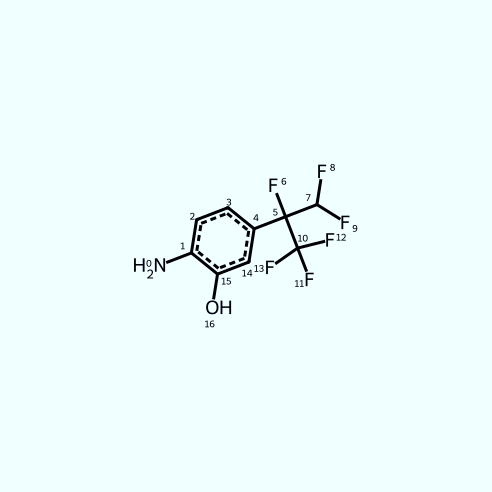 Nc1ccc(C(F)(C(F)F)C(F)(F)F)cc1O